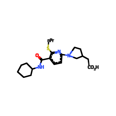 CCCSc1nc(N2CCC(CC(=O)O)C2)ccc1C(=O)NC1CCCCC1